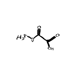 O=C(O)C(=O)OP